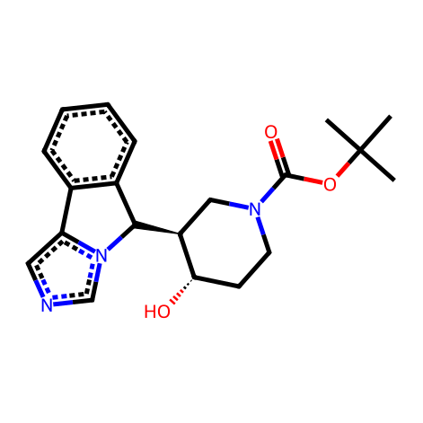 CC(C)(C)OC(=O)N1CC[C@H](O)[C@@H](C2c3ccccc3-c3cncn32)C1